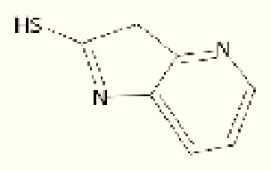 SC1=Nc2cccnc2C1